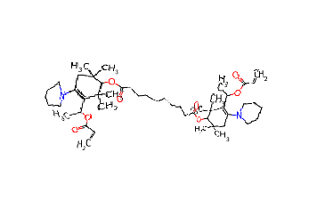 C=CC(=O)OC(C)C1=C(N2CCCCC2)CC(C)(C)C(OC(=O)CCCCCCCCC(=O)OC2C(C)(C)CC(N3CCCCC3)=C(C(C)OC(=O)C=C)C2(C)C)C1(C)C